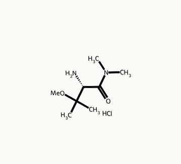 COC(C)(C)[C@H](N)C(=O)N(C)C.Cl